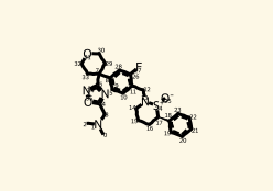 CN(C)Cc1nc(C2(c3ccc(CN4CCC[C@H](c5ccccc5)[S+]4[O-])c(F)c3)CCOCC2)no1